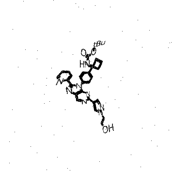 CC(C)(C)OC(=O)NC1(c2ccc(-n3c(-c4ccccn4)nc4cnc(-c5cnn(CCO)c5)nc43)cc2)CCC1